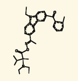 CCN(CC)C(C)(C(=O)O/N=C(\C)c1ccc2c(c1)c1cc(C(=O)c3ccccc3C)ccc1n2CC)C(C)C